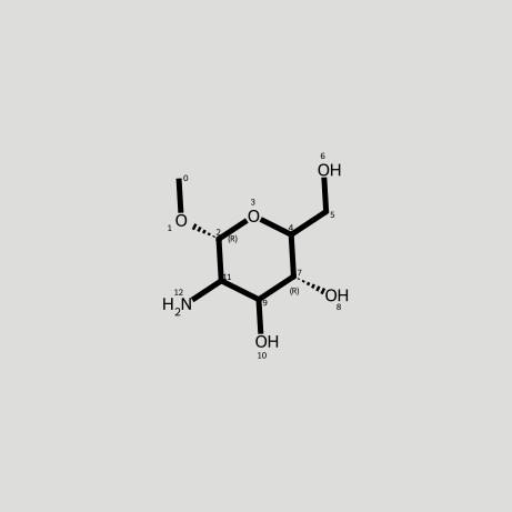 CO[C@@H]1OC(CO)[C@H](O)C(O)C1N